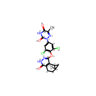 N#Cc1nn(-c2cc(Cl)c(Oc3n[nH]c(=O)c4c3C3C[C@@H]3CC4)c(Cl)c2)c(=O)[nH]c1=O